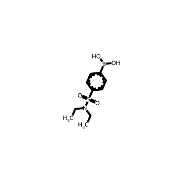 CCN(CC)S(=O)(=O)c1ccc(B(O)O)cc1